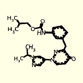 CC(C)COC(=O)Nc1cccc(Cc2nn(-c3cnn(C(C)C)c3)ccc2=O)c1